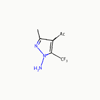 CC(=O)c1c(C)nn(N)c1C(F)(F)F